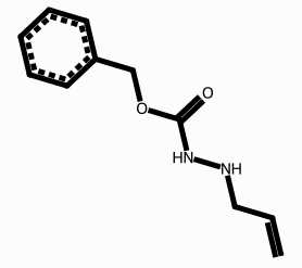 C=CCNNC(=O)OCc1ccccc1